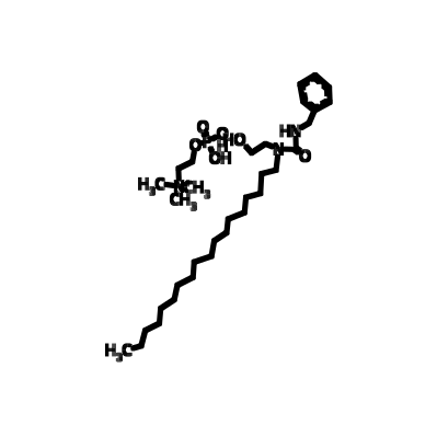 CCCCCCCCCCCCCCCCCCN(CCO)C(=O)NCc1ccccc1.C[N+](C)(C)CCOP(=O)(O)O